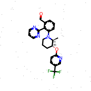 C[C@H]1[C@H](Oc2ccc(C(F)(F)F)cn2)CCCN1c1cccc(C=O)c1-c1ncccn1